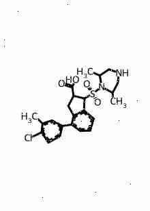 Cc1cc(-c2cccc3c2CC(C(=O)O)C3S(=O)(=O)N2C(C)CNCC2C)ccc1Cl